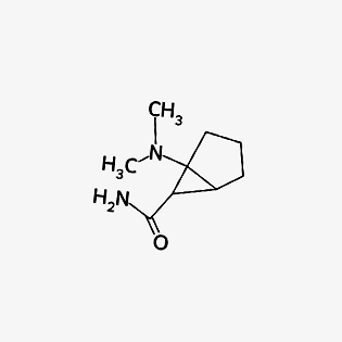 CN(C)C12CCCC1C2C(N)=O